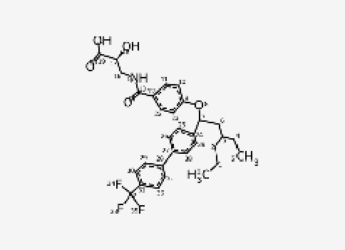 CCCC(CC)CC(Oc1ccc(C(=O)NC[C@H](O)C(=O)O)cc1)c1ccc(-c2ccc(C(F)(F)F)cc2)cc1